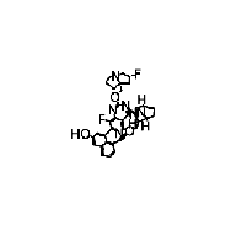 C#Cc1cccc2cc(O)cc(-c3nc4c5c(nc(OC[C@@]67CCCN6C[C@@H](F)C7)nc5c3F)N3C[C@@H]5CC[C@@H](N5)[C@@H]3CO4)c12